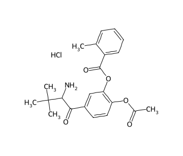 CC(=O)Oc1ccc(C(=O)C(N)C(C)(C)C)cc1OC(=O)c1ccccc1C.Cl